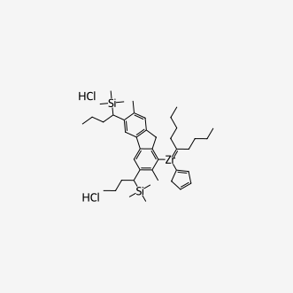 CCCC[C](CCCC)=[Zr]([C]1=CC=CC1)[c]1c(C)c(C(CCC)[Si](C)(C)C)cc2c1Cc1cc(C)c(C(CCC)[Si](C)(C)C)cc1-2.Cl.Cl